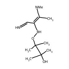 CN/C(C)=C(/BOC(C)(C)C(C)(C)O)C=N